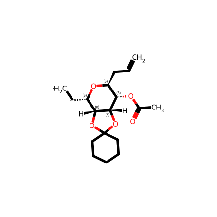 [CH2][CH][C@@H]1O[C@@H](CC=C)[C@H](OC(C)=O)[C@@H]2OC3(CCCCC3)O[C@@H]21